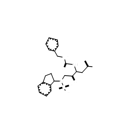 CS(=O)(=O)N(CC(=O)C(CC(=O)O)NC(=O)OCc1ccccc1)C1CCc2ccccc21